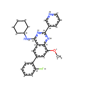 COc1cc(-c2ccccc2F)cc2c(NC3CCCCC3)nc(-c3cccnc3)nc12